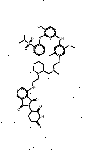 COc1cc(CCN(C)CC2CCCCN2CCNc2cccc3c2C(=O)N(C2CCC(=O)NC2=O)C3=O)c(C)cc1Nc1ncc(Cl)c(Nc2ccccc2S(=O)(=O)C(C)C)n1